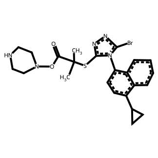 CC(C)(Sc1nnc(Br)n1-c1ccc(C2CC2)c2ccccc12)C(=O)ON1CCNCC1